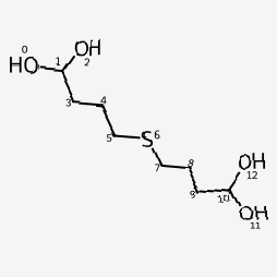 OC(O)CCCSCCCC(O)O